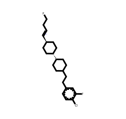 FCC/C=C/[C@H]1CC[C@H](C2CCC(CCc3ccc(Cl)c(F)c3)CC2)CC1